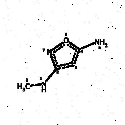 CNc1cc(N)on1